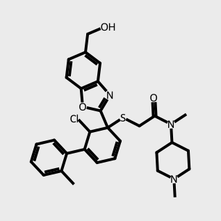 Cc1ccccc1C1=CC=CC(SCC(=O)N(C)C2CCN(C)CC2)(c2nc3cc(CO)ccc3o2)C1Cl